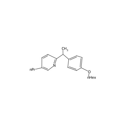 CCCCCCOc1ccc(C(C)c2ccc(CCC)cn2)cc1